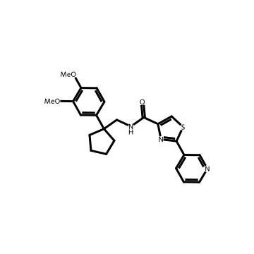 COc1ccc(C2(CNC(=O)c3csc(-c4cccnc4)n3)CCCC2)cc1OC